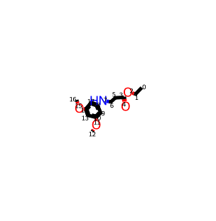 CCOC(=O)CCNc1cc(OC)cc(OC)c1